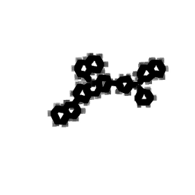 c1ccc(N(c2ccc(-c3ccc4c(c3)Cc3cc(-c5ccc6ccccc6c5)ccc3N4c3cccc4ccccc34)cc2)c2ccc3ccccc3c2)cc1